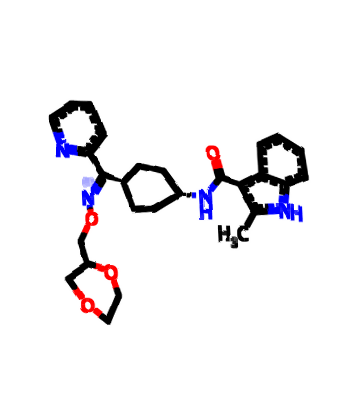 Cc1[nH]c2ccccc2c1C(=O)N[C@H]1CC[C@H](/C(=N\OCC2COCCO2)c2ccccn2)CC1